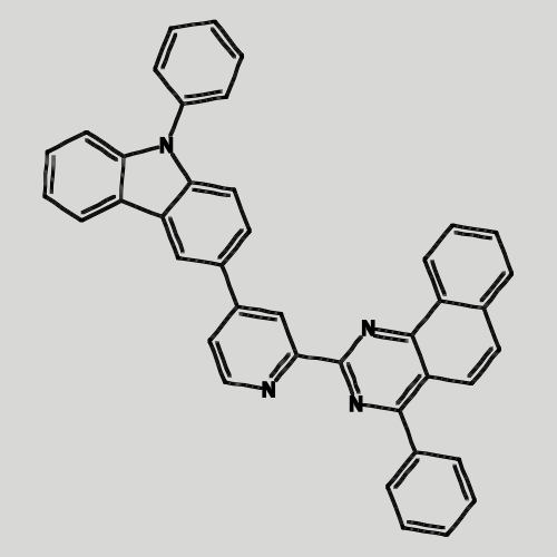 c1ccc(-c2nc(-c3cc(-c4ccc5c(c4)c4ccccc4n5-c4ccccc4)ccn3)nc3c2ccc2ccccc23)cc1